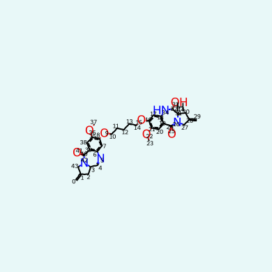 C=C1CC2C=Nc3cc(OCCCCCOc4cc5c(cc4OC)C(=O)N4CC(=C)C[C@H]4C(O)N5)c(OC)cc3C(=O)N2C1